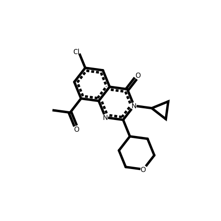 CC(=O)c1cc(Cl)cc2c(=O)n(C3CC3)c(C3CCOCC3)nc12